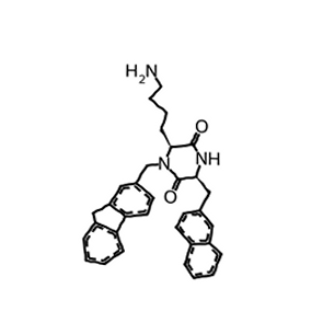 NCCCC[C@H]1C(=O)N[C@@H](Cc2ccc3ccccc3c2)C(=O)N1Cc1ccc2c(c1)Cc1ccccc1-2